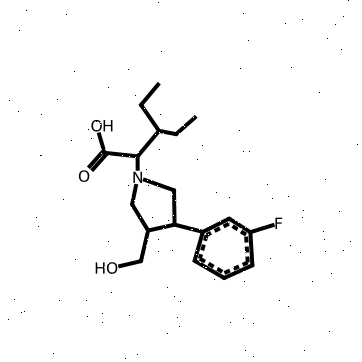 CCC(CC)C(C(=O)O)N1CC(CO)C(c2cccc(F)c2)C1